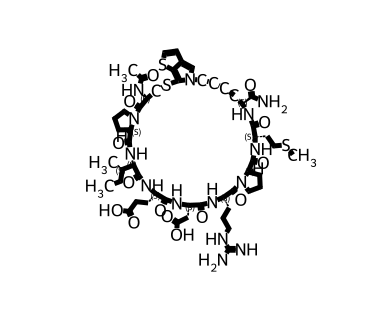 CC[C@H](C)[C@@H]1NC(=O)[C@@H]2CCCN2C(=O)[C@@H](NC(C)=O)CSc2c3sccc3cn2CCCC[C@@H](C(N)=O)NC(=O)[C@H](CCSC)NC(=O)[C@@H]2CCCN2C(=O)[C@H](CCCNC(=N)N)NC(=O)[C@H](CC(=O)O)NC(=O)[C@H](CCC(=O)O)NC1=O